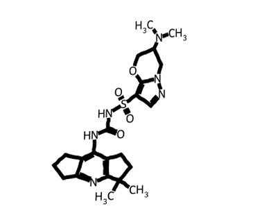 CN(C)C1COc2c(S(=O)(=O)NC(=O)Nc3c4c(nc5c3CCC5(C)C)CCC4)cnn2C1